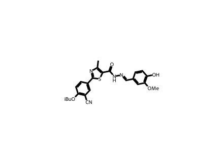 COc1cc(/C=N/NC(=O)c2sc(-c3ccc(OCC(C)C)c(C#N)c3)nc2C)ccc1O